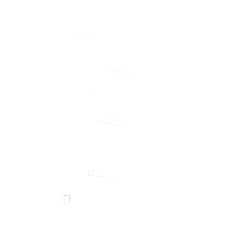 CC(C)c1ccc2ccc(Cl)cc2c1